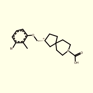 Cc1c(Br)cccc1OC[C@@H]1CCC2(CCN(C(=O)O)CC2)C1